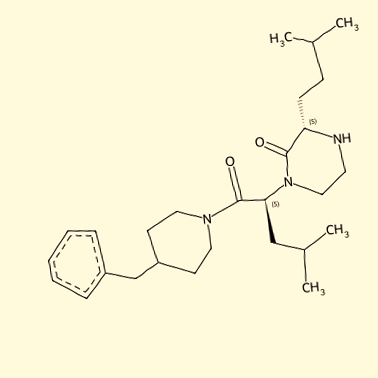 CC(C)CC[C@@H]1NCCN([C@@H](CC(C)C)C(=O)N2CCC(Cc3ccccc3)CC2)C1=O